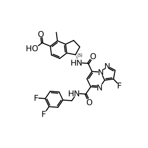 Cc1c(C(=O)O)ccc2c1CC[C@@H]2NC(=O)c1cc(C(=O)NCc2ccc(F)c(F)c2)nc2c(F)cnn12